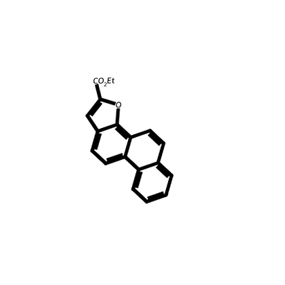 CCOC(=O)c1cc2ccc3c4ccccc4ccc3c2o1